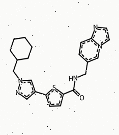 O=C(NCc1ccc2nccn2c1)c1ccc(-c2cnn(CC3CCCCC3)c2)s1